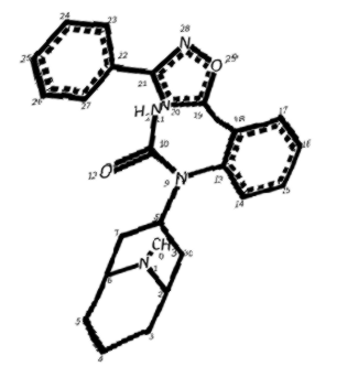 CN1C2CCCC1CC(N(C(N)=O)c1ccccc1-c1nc(-c3ccccc3)no1)C2